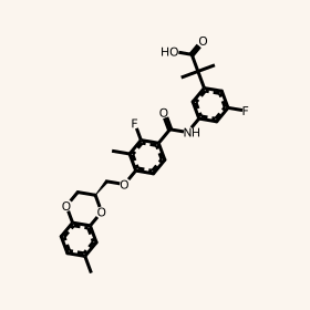 Cc1ccc2c(c1)O[C@H](COc1ccc(C(=O)Nc3cc(F)cc(C(C)(C)C(=O)O)c3)c(F)c1C)CO2